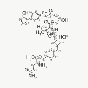 Cc1ncsc1-c1ccc(CNC(=O)[C@@H]2C[C@@H](O)CN2C(=O)[C@@H](NC(=O)CC2CC(Cc3ccc(CO[C@H](C)[C@@H](N)CCC(N)=O)cc3)C2)C(C)(C)C)cc1.Cl